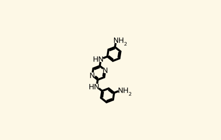 Nc1cccc(Nc2cnc(Nc3cccc(N)c3)cn2)c1